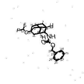 O=C(NC1[C@@H]2CC3C[C@H]1CC(OC(F)F)(C3)C2)OCc1ccccc1